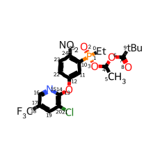 CCP(=O)(OC(C)OC(=O)C(C)(C)C)c1cc(Oc2ncc(C(F)(F)F)cc2Cl)ccc1[N+](=O)[O-]